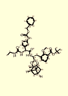 CCNC(=O)NC(C(=O)N[C@@H](Cc1cccc(C(=O)OC(C)(C)C)c1OC)B1OC2C[C@H]3C[C@@H](C3(C)C)[C@]2(C)O1)c1csc(NC(=O)OCc2ccccc2)n1